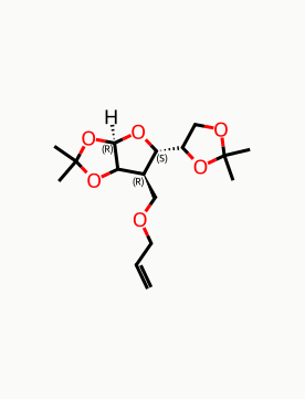 C=CCOC[C@H]1C2OC(C)(C)O[C@H]2O[C@@H]1C1COC(C)(C)O1